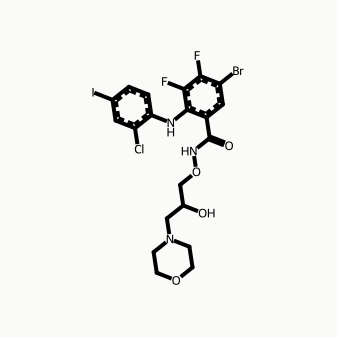 O=C(NOCC(O)CN1CCOCC1)c1cc(Br)c(F)c(F)c1Nc1ccc(I)cc1Cl